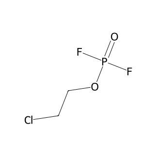 O=P(F)(F)OCCCl